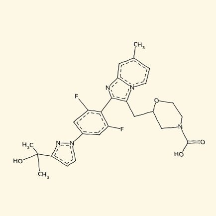 Cc1ccn2c(CC3CN(C(=O)O)CCO3)c(-c3c(F)cc(-n4ccc(C(C)(C)O)n4)cc3F)nc2c1